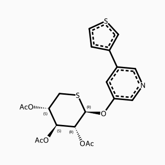 CC(=O)O[C@@H]1[C@@H](OC(C)=O)[C@H](OC(C)=O)CS[C@H]1Oc1cncc(-c2ccsc2)c1